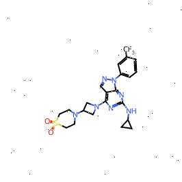 O=S1(=O)CCN(C2CN(c3nc(NC4CC4)nc4c3cnn4-c3cccc(C(F)(F)F)c3)C2)CC1